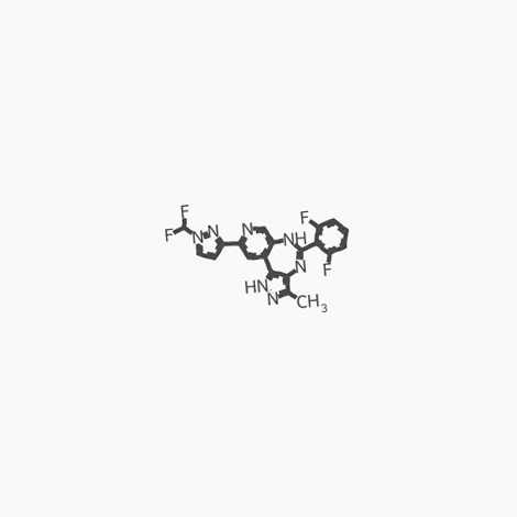 Cc1n[nH]c2c1N=C(c1c(F)cccc1F)Nc1cnc(-c3ccn(C(F)F)n3)cc1-2